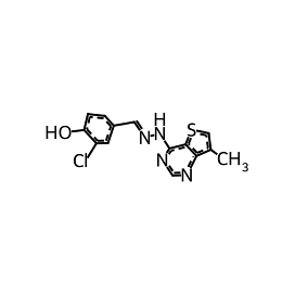 Cc1csc2c(NN=Cc3ccc(O)c(Cl)c3)ncnc12